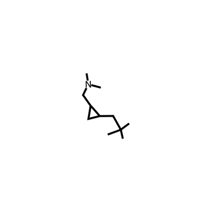 CN(C)CC1CC1CC(C)(C)C